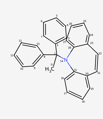 CC(c1ccccc1)(c1ccccc1)N1c2ccccc2C=Cc2ccccc21